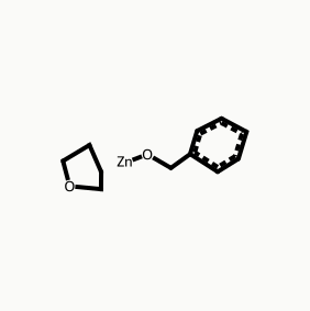 C1CCOC1.[Zn][O]Cc1ccccc1